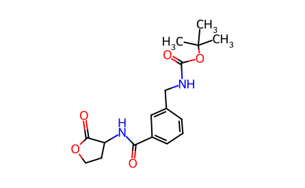 CC(C)(C)OC(=O)NCc1cccc(C(=O)NC2CCOC2=O)c1